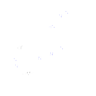 COc1nnc(C(F)(F)F)cc1-c1[c]ccc(-n2cnc3cc(Nc4ccc(C)nn4)ccc32)n1